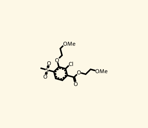 COCCOC(=O)c1ccc(S(C)(=O)=O)c(OCCOC)c1Cl